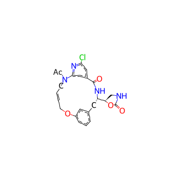 CC(=O)N1CC=CCOc2cccc(c2)C[C@@H]([C@H]2CNC(=O)O2)NC(=O)c2cc(Cl)nc1c2